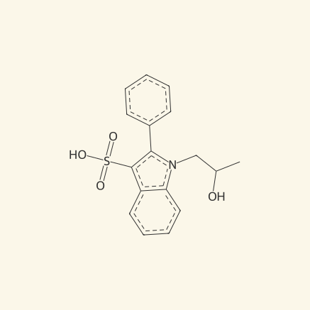 CC(O)Cn1c(-c2ccccc2)c(S(=O)(=O)O)c2ccccc21